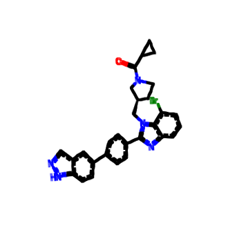 O=C(C1CC1)N1CC[C@@H](Cn2c(-c3ccc(-c4ccc5[nH]ncc5c4)cc3)nc3cccc(Br)c32)C1